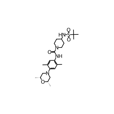 Cc1cc(N2C[C@@H](C)O[C@@H](C)C2)c(C)cc1NC(=O)N1CCC(NS(=O)(=O)C(C)(C)C)CC1